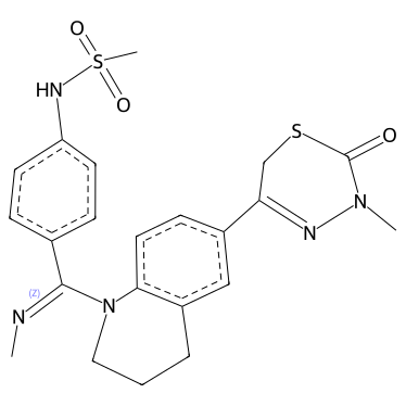 C/N=C(/c1ccc(NS(C)(=O)=O)cc1)N1CCCc2cc(C3=NN(C)C(=O)SC3)ccc21